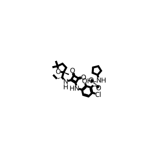 CC[C@@H](Nc1c(Nc2ccc(Cl)c(S(=O)(=O)NC3CCCC3)c2O)c(=O)c1=O)[C@@]1(C)CCC(C)(C)O1